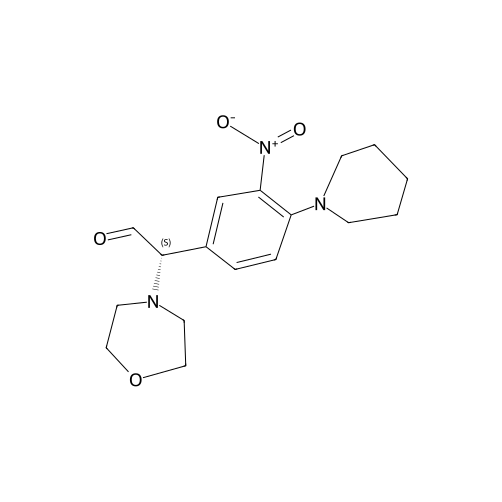 O=C[C@H](c1ccc(N2CCCCC2)c([N+](=O)[O-])c1)N1CCOCC1